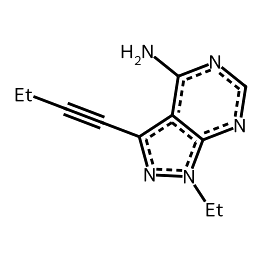 CCC#Cc1nn(CC)c2ncnc(N)c12